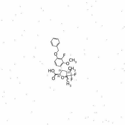 COc1c([C@H]2[C@H](C(=O)O)O[C@@](C)(C(F)(F)F)[C@H]2C)ccc(OCc2ccccc2)c1F